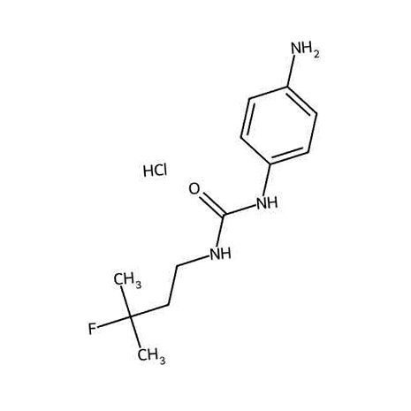 CC(C)(F)CCNC(=O)Nc1ccc(N)cc1.Cl